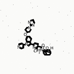 O=C(NC1(C(=O)O)C2CC3CC(C2)CC1C3)c1ccc(-c2cn(-c3ccncc3)c3cc(OC4CCN(c5ncccn5)CC4)ccc23)nc1C(F)(F)F